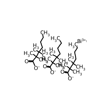 CCCCC(C)(C)C(C)(C)C(=O)[O-].CCCCC(C)(C)C(C)(C)C(=O)[O-].CCCCC(C)(C)C(C)(C)C(=O)[O-].[Bi+3]